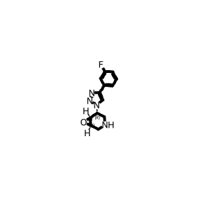 Fc1cccc(-c2cn([C@@H]3CNC[C@H]4O[C@@H]34)nn2)c1